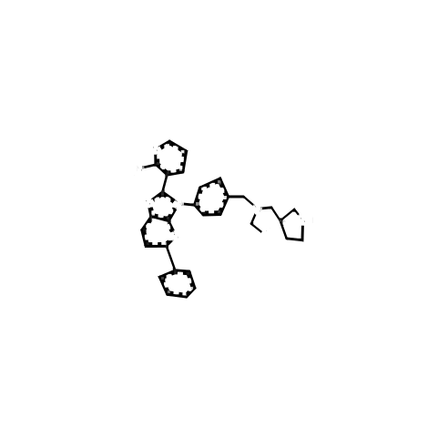 Nc1ncccc1-c1nc2ccc(-c3ccccc3)nc2n1-c1ccc(CN2CC[C@]3(CCNC3)C2)cc1